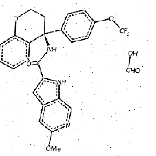 COc1cc2cc(C(=O)N[C@]3(c4ccc(OC(F)(F)F)cc4)CCOc4cccnc43)[nH]c2cn1.O=CO